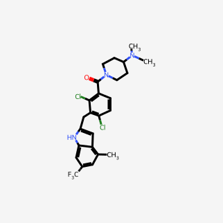 Cc1cc(C(F)(F)F)cc2[nH]c(Cc3c(Cl)ccc(C(=O)N4CCC(N(C)C)CC4)c3Cl)cc12